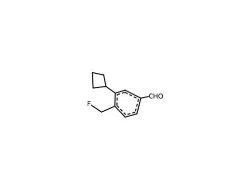 O=Cc1ccc(CF)c(C2CCC2)c1